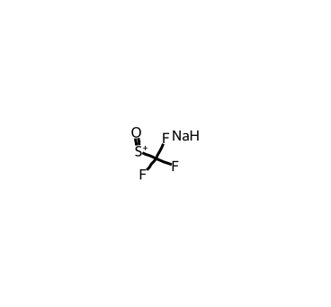 O=[S+]C(F)(F)F.[NaH]